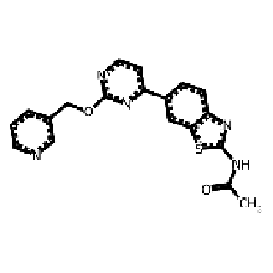 CC(=O)Nc1nc2ccc(-c3ccnc(OCc4cccnc4)n3)cc2s1